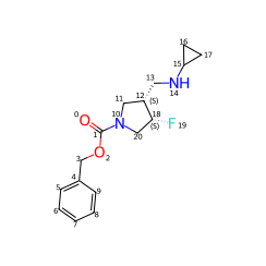 O=C(OCc1ccccc1)N1C[C@H](CNC2CC2)[C@H](F)C1